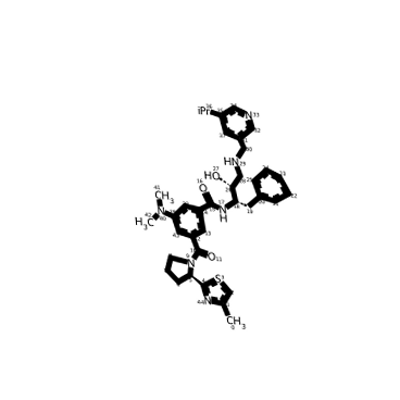 Cc1csc([C@H]2CCCN2C(=O)c2cc(C(=O)N[C@@H](Cc3ccccc3)[C@H](O)CNCc3cncc(C(C)C)c3)cc(N(C)C)c2)n1